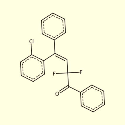 O=C(c1ccccc1)C(F)(F)/C=C(/c1ccccc1)c1ccccc1Cl